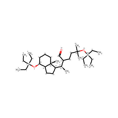 CC[Si](CC)(CC)O[C@H]1CCC[C@]2(C)C([C@H](C)C(C=O)CCC(C)(C)O[Si](CC)(CC)CC)CCC12